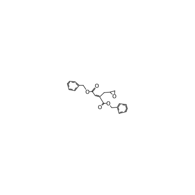 O=C(/C=C(\CC1CO1)C(=O)OCc1ccccc1)OCc1ccccc1